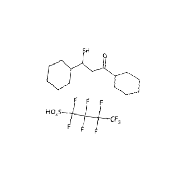 O=C(CC(S)C1CCCCC1)C1CCCCC1.O=S(=O)(O)C(F)(F)C(F)(F)C(F)(F)C(F)(F)F